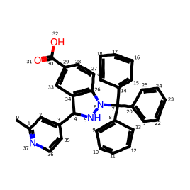 Cc1cc(C2NN(C(c3ccccc3)(c3ccccc3)c3ccccc3)c3ccc(C(=O)O)cc32)ccn1